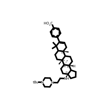 CC1(C)C(c2ccc(C(=O)O)cc2)=CC[C@@]2(C)C1CC[C@]1(C)C2CC[C@@H]2C3CCC[C@]3(NCCN3CCN(C(C)(C)C)CC3)CC[C@]21C